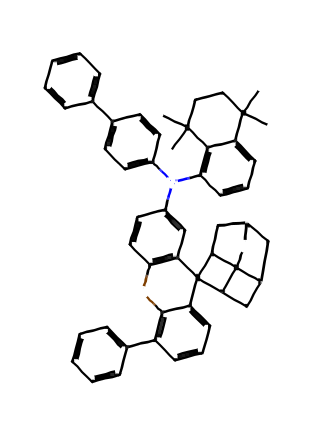 CC1(C)CCC(C)(C)c2c(N(c3ccc(-c4ccccc4)cc3)c3ccc4c(c3)C3(c5cccc(-c6ccccc6)c5S4)C4CC5CC6CC3C64C5)cccc21